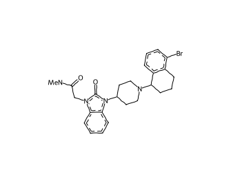 CNC(=O)Cn1c(=O)n(C2CCN(C3CCCc4c(Br)cccc43)CC2)c2ccccc21